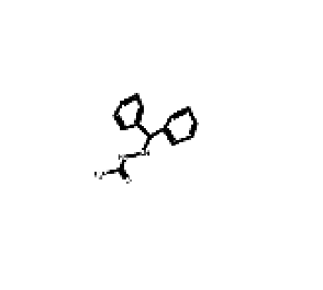 NC(=O)NNC(c1ccccc1)c1ccccc1